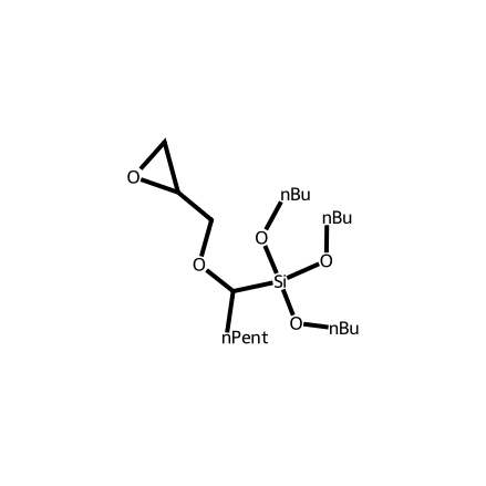 CCCCCC(OCC1CO1)[Si](OCCCC)(OCCCC)OCCCC